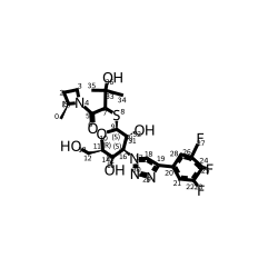 C[C@H]1CCN1C(=O)C(S[C@@H]1O[C@H](CO)[C@H](O)[C@H](n2cc(-c3cc(F)c(F)c(F)c3)nn2)[C@H]1O)C(C)(C)O